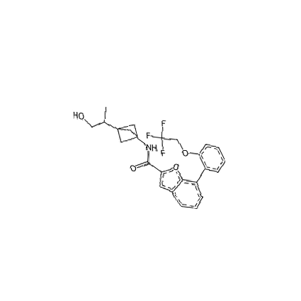 CC(CO)C12CC(NC(=O)c3cc4cccc(-c5ccccc5OCC(F)(F)F)c4o3)(C1)C2